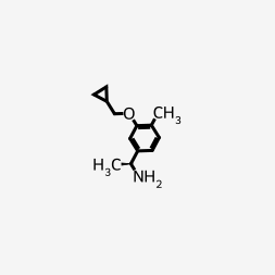 Cc1ccc([C@H](C)N)cc1OCC1CC1